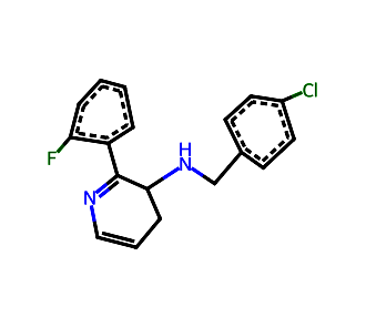 Fc1ccccc1C1=NC=CCC1NCc1ccc(Cl)cc1